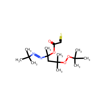 CC(C)(C)N=NC(C)(CC(C)(C)OOC(C)(C)C)OC(=O)C=S